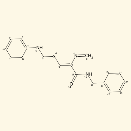 C=N/C(=C\SCNc1ccccc1)C(=O)NCc1ccccc1